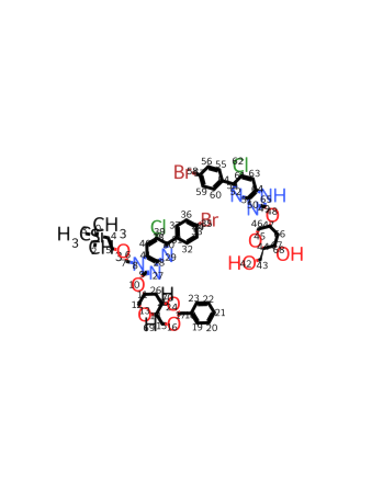 C[Si](C)(C)CCOCn1c(O[C@H]2CO[C@@H]3COC(c4ccccc4)O[C@H]3C2)nc2nc(-c3ccc(Br)cc3)c(Cl)cc21.OC[C@H]1OC[C@H](Oc2nc3nc(-c4ccc(Br)cc4)c(Cl)cc3[nH]2)C[C@@H]1O